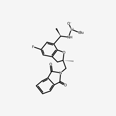 C[C@@H](N[S+]([O-])C(C)(C)C)c1cc(F)cc2c1O[C@@](C)(CN1C(=O)c3ccccc3C1=O)C2